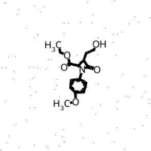 CCOC(=O)C1C(CCO)C(=O)N1c1ccc(OC)cc1